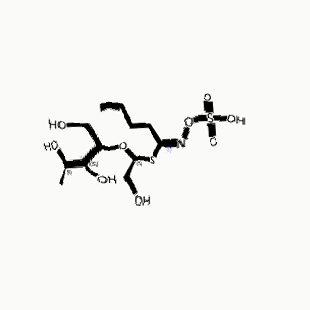 C=CCC/C(=N\OS(=O)(=O)O)S[C@@H](CO)OC(CO)[C@@H](O)[C@@H](C)O